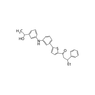 CCC(CC(=O)c1ccc(-c2cccc(Nc3cccc(C(C)O)c3)c2)s1)c1ccccc1